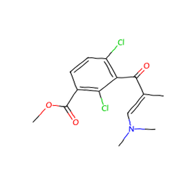 COC(=O)c1ccc(Cl)c(C(=O)C(C)=CN(C)C)c1Cl